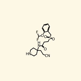 N#CCCC1(NC(=O)CCS(=O)(=O)Cc2ccccc2OC(F)F)CCNCC1